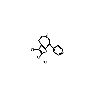 CN1CCc2c(sc(Cl)c2Cl)C(c2ccccc2)C1.Cl